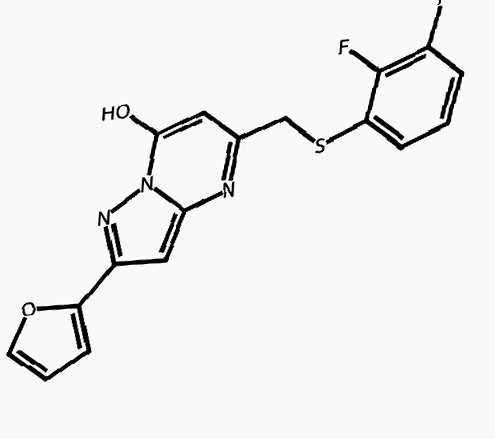 Oc1cc(CSc2cccc(F)c2F)nc2cc(-c3ccco3)nn12